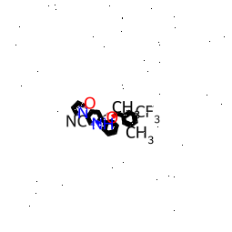 Cc1cc(C(C)OC[C@@]2(c3ccccc3)CC[C@](C#N)(N3CCCC3=O)CN2)cc(C(F)(F)F)c1